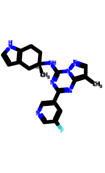 Cc1cnn2c(N[C@@]3(C)CCc4[nH]ccc4C3)nc(-c3cncc(F)c3)nc12